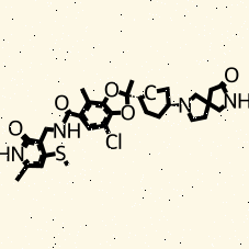 CSc1cc(C)[nH]c(=O)c1CNC(=O)c1cc(Cl)c2c(c1C)OC(C)([C@H]1CC[C@H](N3CCC4(CNC(=O)C4)C3)CC1)O2